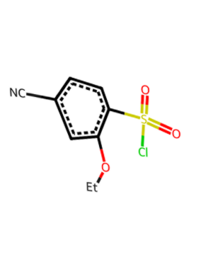 CCOc1cc(C#N)ccc1S(=O)(=O)Cl